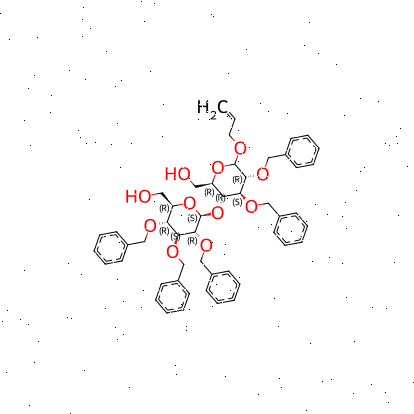 C=CCOC1O[C@H](CO)[C@@H](O[C@@H]2O[C@H](CO)[C@@H](OCc3ccccc3)[C@H](OCc3ccccc3)[C@H]2OCc2ccccc2)[C@H](OCc2ccccc2)[C@H]1OCc1ccccc1